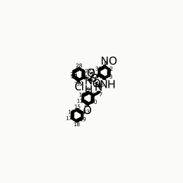 O=Nc1ccc(N/N=C/c2cccc(Oc3ccccc3)c2)c(S(=O)(=O)Nc2ccccc2Cl)c1